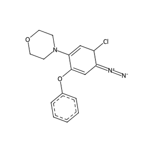 [N-]=[N+]=C1C=C(Oc2ccccc2)C(N2CCOCC2)=CC1Cl